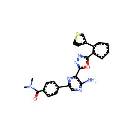 CN(C)C(=O)c1ccc(-c2cnc(N)c(-c3nnc(-c4ccccc4-c4c#csc4)o3)n2)cc1